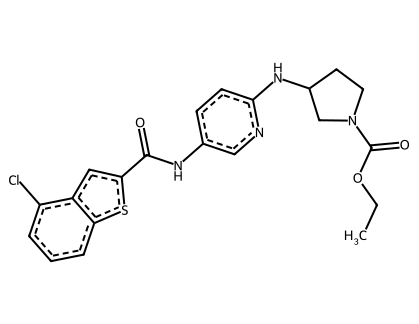 CCOC(=O)N1CCC(Nc2ccc(NC(=O)c3cc4c(Cl)cccc4s3)cn2)C1